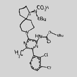 Cc1nc(N2CCC3(CCC[C@H]3N(C(=O)O)C(C)(C)C)CC2)c(NC(=O)OC(C)(C)C)nc1-c1cccc(Cl)c1Cl